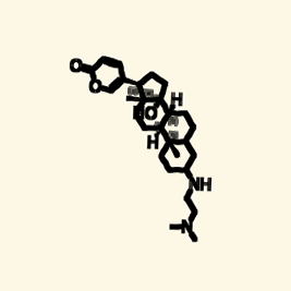 CN(C)CCNC1CC[C@@]2(C)C(CC[C@@H]3[C@@H]2CC[C@]2(C)[C@@H](c4ccc(=O)oc4)CC[C@]32O)C1